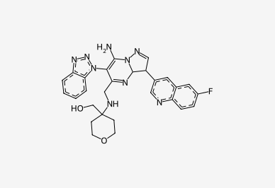 NC1=C(n2nnc3ccccc32)C(CNC2(CO)CCOCC2)=NC2C(c3cnc4ccc(F)cc4c3)C=NN12